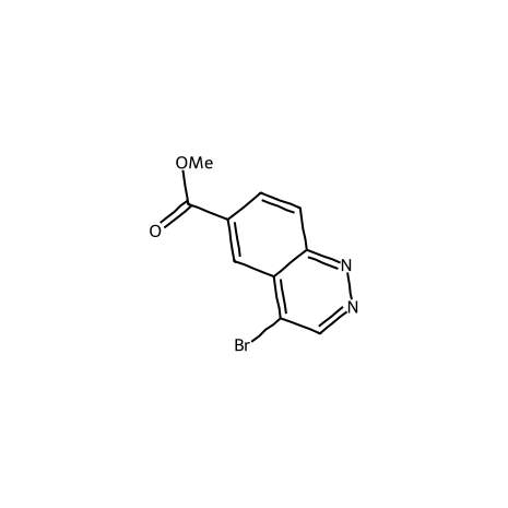 COC(=O)c1ccc2nncc(Br)c2c1